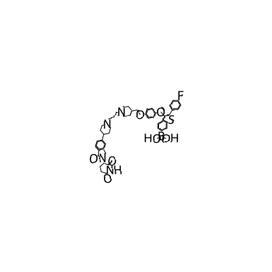 O=C1CCC(N2Cc3cc(C4CCN(CCCN5CCC(COc6ccc(Oc7c(-c8ccc(F)cc8)sc8cc(B(O)O)ccc78)cc6)CC5)CC4)ccc3C2=O)C(=O)N1